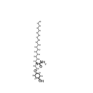 CCCCCCCCCCCCCCCCCCN(CCOc1ccc(O)cc1)C(N)=O